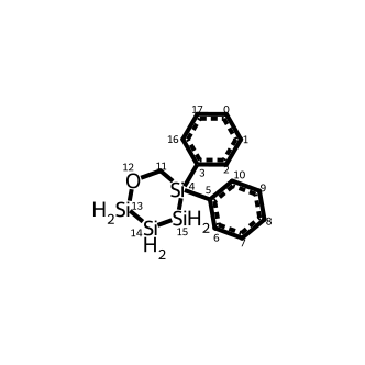 c1ccc([Si]2(c3ccccc3)CO[SiH2][SiH2][SiH2]2)cc1